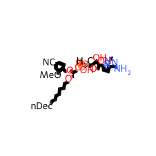 CCCCCCCCCCCCCCCCCCOC[C@@H](COP(=O)(O)OC[C@@]1(C)OCC(O)(c2ccc3c(N)ncnn23)[C@@H]1O)OCc1ccc(C#N)cc1OC